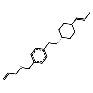 C=CCOCc1ccc(CC[C@H]2CC[C@H](C=CC)CC2)cc1